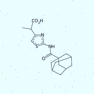 CC(C(=O)O)c1csc(NC(=O)C23CC4CC(CC(C4)C2)C3)n1